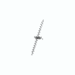 CCCCCCCCCCCCCCCCNCCCCCCCCCCCCCCCC.Cl.Cl.N